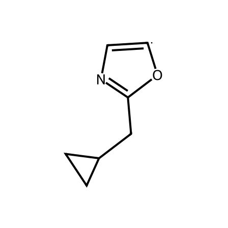 [c]1cnc(CC2CC2)o1